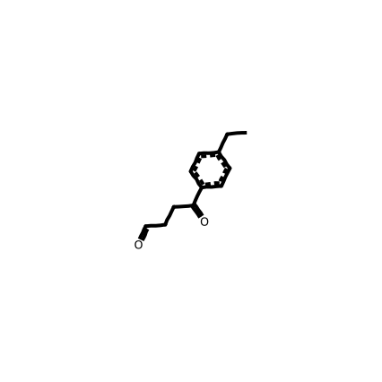 CCc1ccc(C(=O)CCC=O)cc1